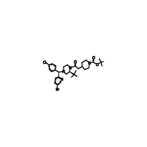 CC(C)(C)OC(=O)N1CCC(CC(=O)N2CCN(C(c3ccc(Cl)cc3)c3ccc(Br)cn3)C[C@@H]2C(C)(C)C)CC1